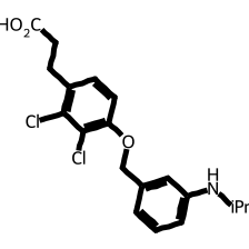 CC(C)Nc1cccc(COc2ccc(CCC(=O)O)c(Cl)c2Cl)c1